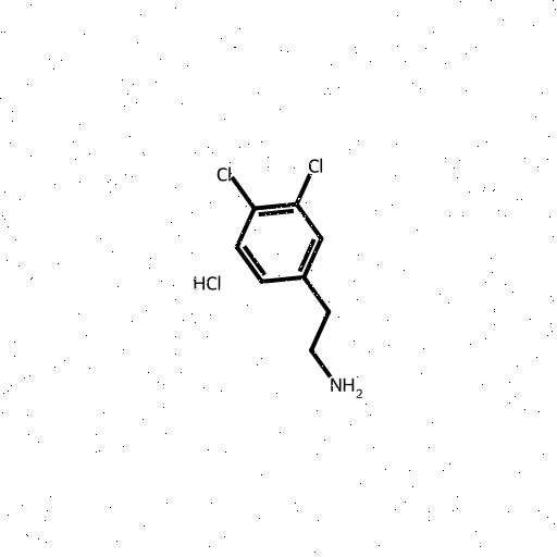 Cl.NCCc1ccc(Cl)c(Cl)c1